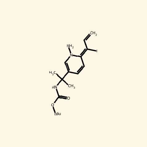 C=C/C(I)=C1/C=CC(C(C)(C)NC(=O)OCCCC)=CN1N